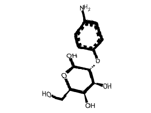 Nc1ccc(O[C@H]2C(O)O[C@H](CO)[C@H](O)[C@@H]2O)cc1